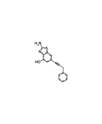 Nc1nc2c(O)cc(C#CCc3ccccc3)cc2s1